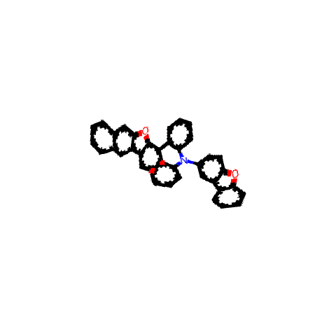 c1ccc(N(c2ccc3oc4ccccc4c3c2)c2ccccc2-c2cccc3c2oc2cc4ccccc4cc23)cc1